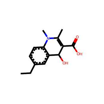 CCc1ccc2c(c1)C(O)C(C(=O)O)=C(C)N2C